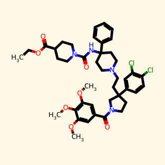 CCOC(=O)C1CCN(C(=O)NC2(c3ccccc3)CCN(CCC3(c4ccc(Cl)c(Cl)c4)CCN(C(=O)c4cc(OC)c(OC)c(OC)c4)C3)CC2)CC1